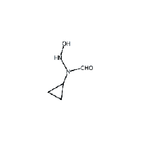 O=CN(NO)C1CC1